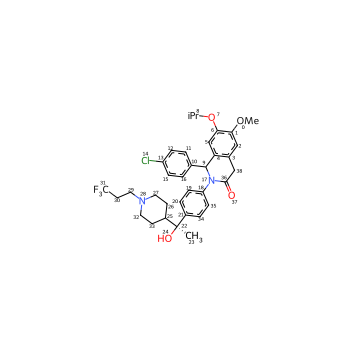 COc1cc2c(cc1OC(C)C)C(c1ccc(Cl)cc1)N(c1ccc([C@@](C)(O)C3CCN(CCC(F)(F)F)CC3)cc1)C(=O)C2